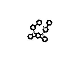 c1ccc(-c2cccc(-n3c4ccccc4c4cc5c6ccccc6n(-c6ccc(-c7ccccc7)nc6)c5cc43)c2)cc1